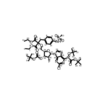 CCOC(=O)C(Cc1ccc(NS(C)(=O)=O)cc1)(OC[C@H]1O[C@@H](n2cnc3c(N(OC(C)(C)C)C(=O)OC(C)(C)C)nc(Cl)nc32)[C@@H](F)[C@@H]1OC(=O)OC(C)(C)C)C(=O)OCC